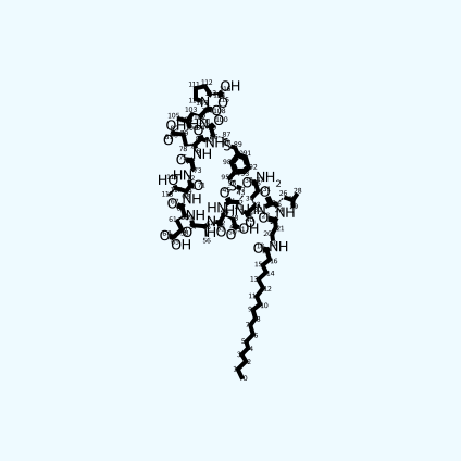 CCCCCCCCCCCCCCCCCC(=O)NCCC(=O)N[C@@H](CC(C)C)C(=O)N[C@@H](CCC(N)=O)C(=O)N[C@@H](C)C(=O)N[C@@H](CC(=O)O)C(=O)N[C@@H](C)C(=O)N[C@@H](CCC(=O)O)C(=O)N[C@H](C(=O)NCC(=O)N[C@@H](CCC(=O)O)C(=O)N[C@@H](CSCc1cccc(CSC)c1)C(=O)N[C@@H](CC(C)C)C(=O)N1CCC[C@H]1C(=O)O)[C@@H](C)O